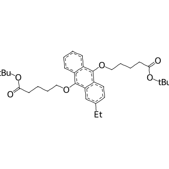 CCc1ccc2c(OCCCCC(=O)OC(C)(C)C)c3ccccc3c(OCCCCC(=O)OC(C)(C)C)c2c1